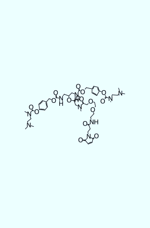 CN(C)CCN(C)C(=O)Oc1ccc(COC(=O)NCC(CNC(=O)OCc2ccc(OC(=O)N(C)CCN(C)C)cc2)OC(=O)CN(C)C(=O)COCCOCCNC(=O)CCN2C(=O)C=CC2=O)cc1